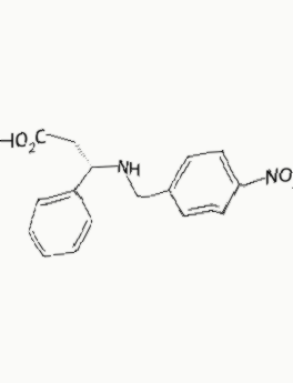 O=C(O)C[C@H](NCc1ccc([N+](=O)[O-])cc1)c1ccccc1